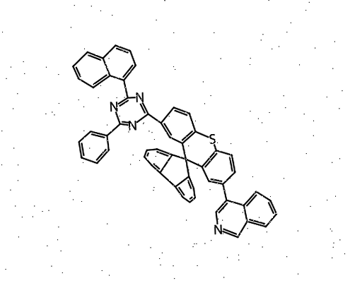 c1ccc(-c2nc(-c3ccc4c(c3)C3(c5cc(-c6cncc7ccccc67)ccc5S4)c4ccccc4-c4ccccc43)nc(-c3cccc4ccccc34)n2)cc1